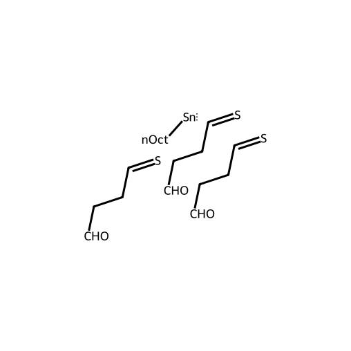 CCCCCCC[CH2][Sn].O=CCCC=S.O=CCCC=S.O=CCCC=S